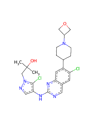 CC(C)(O)Cn1ncc(Nc2ncc3cc(Cl)c(C4CCN(C5COC5)CC4)cc3n2)c1Cl